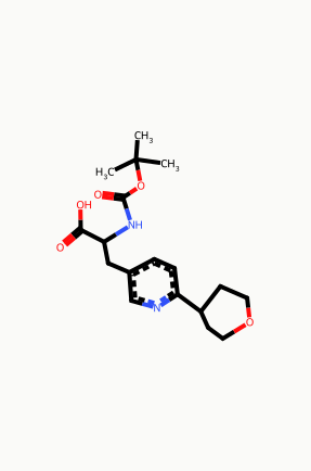 CC(C)(C)OC(=O)NC(Cc1ccc(C2CCOCC2)nc1)C(=O)O